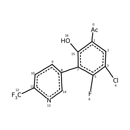 CC(=O)c1cc(Cl)c(F)c(-c2ccc(C(F)(F)F)nc2)c1O